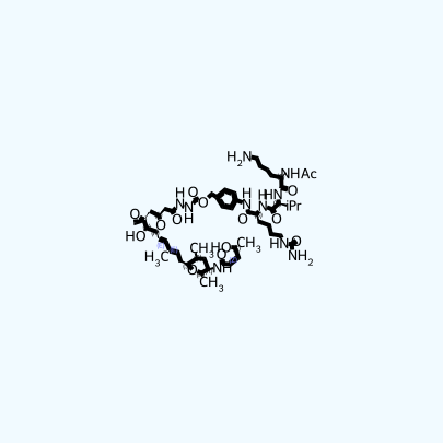 CC(=O)N[C@@H](CCCCN)C(=O)N[C@H](C(=O)N[C@@H](CCCCNC(N)=O)C(=O)Nc1ccc(COC(=O)NNC(=O)C[C@@H]2C[C@@]3(CO3)[C@H](O)[C@@H](/C=C/C(C)=C/C[C@@H]3O[C@H](C)[C@H](NC(=O)/C=C\[C@H](C)O)C[C@@H]3C)O2)cc1)C(C)C